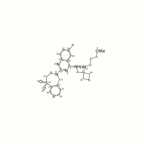 COCCCNC1(CNc2nc(N3CCS(=O)(=O)c4ccccc4C3)nc3ccc(C)cc23)CCC1